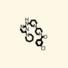 O=C(c1cccc(Cl)c1)N1CCC(N2CCCC(Nc3nccc(N4CCCCCC4)n3)C2)CC1